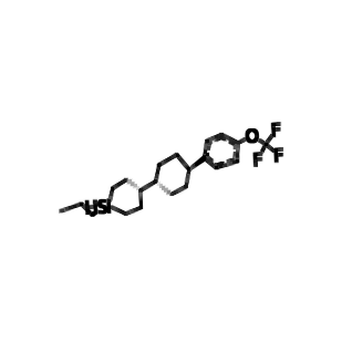 CCC[Si@H]1CC[C@H]([C@H]2CC[C@H](c3ccc(OC(F)(F)F)cc3)CC2)CC1